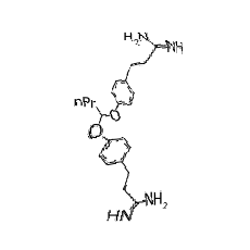 CCCC(Oc1ccc(CCC(=N)N)cc1)Oc1ccc(CCC(=N)N)cc1